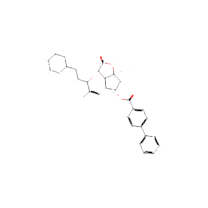 O=C1C[C@@H]2[C@H](/C=C(/Br)C(O)CCC3CCCCC3)[C@H](OC(=O)c3ccc(-c4ccccc4)cc3)C[C@@H]2O1